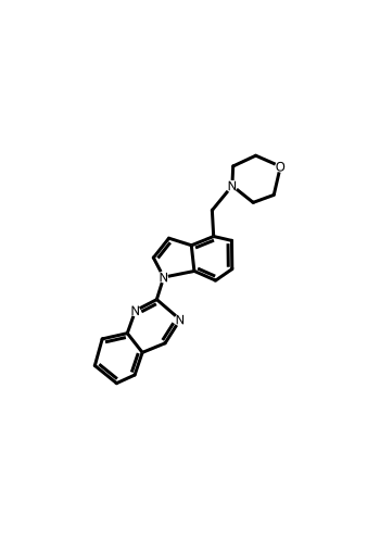 c1ccc2nc(-n3ccc4c(CN5CCOCC5)cccc43)ncc2c1